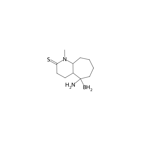 BC1(N)CCCCC2C1CCC(=S)N2C